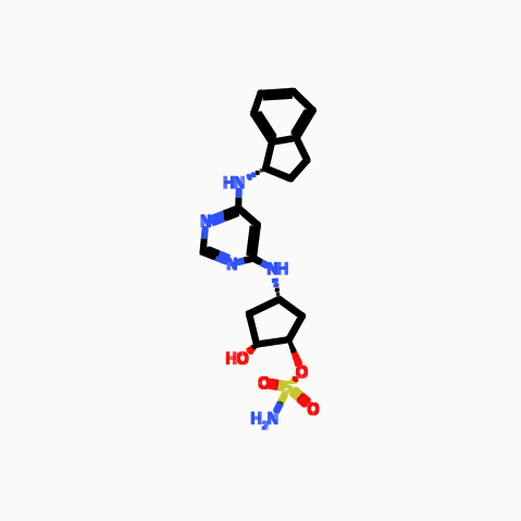 NS(=O)(=O)O[C@@H]1C[C@@H](Nc2cc(N[C@H]3CCc4ccccc43)ncn2)C[C@@H]1O